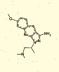 COc1ccc2cc3c(N)nn(C(C)CN(C)C)c3nc2c1